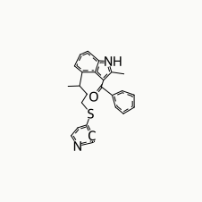 Cc1[nH]c2cccc(C(C)CCSc3ccncc3)c2c1C(=O)c1ccccc1